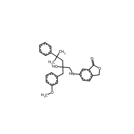 COc1cccc(CC(O)(CNc2ccc3c(c2)C(=O)OC3)CC(C)(C)c2ccccc2)c1